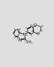 Cc1nc2cccnc2n1-c1ccc2c(c1)OCCO2